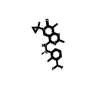 Cc1nc(N[C@@H](C)c2cccc(C(F)F)c2C)c2cn(C3(C)CC3)c(=O)c(C)c2n1